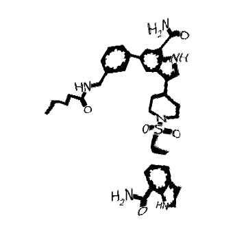 CCCCC(=O)NCc1cccc(-c2cc(C(N)=O)c3[nH]cc(C4CCN(S(=O)(=O)CC)CC4)c3c2)c1.NC(=O)c1cccc2cc[nH]c12